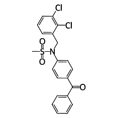 CS(=O)(=O)N(Cc1cccc(Cl)c1Cl)c1ccc(C(=O)c2ccccc2)cc1